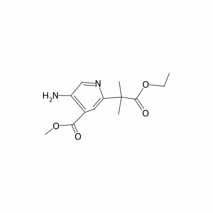 CCOC(=O)C(C)(C)c1cc(C(=O)OC)c(N)cn1